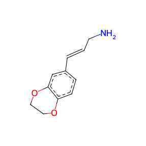 NCC=Cc1ccc2c(c1)OCCO2